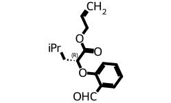 C=CCOC(=O)[C@@H](CC(C)C)Oc1ccccc1C=O